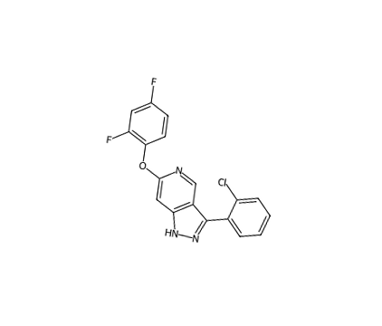 Fc1ccc(Oc2cc3[nH]nc(-c4ccccc4Cl)c3cn2)c(F)c1